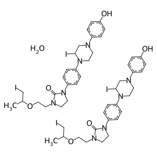 CC(CI)OCCN1CCN(c2ccc(N3CCN(c4ccc(O)cc4)CC3I)cc2)C1=O.CC(CI)OCCN1CCN(c2ccc(N3CCN(c4ccc(O)cc4)CC3I)cc2)C1=O.O